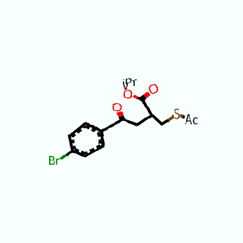 CC(=O)SCC(CC(=O)c1ccc(Br)cc1)C(=O)OC(C)C